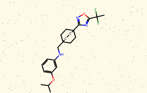 CC(C)Oc1cccc(NCC23CCC(c4noc(C(C)(F)F)n4)(CC2)CC3)c1